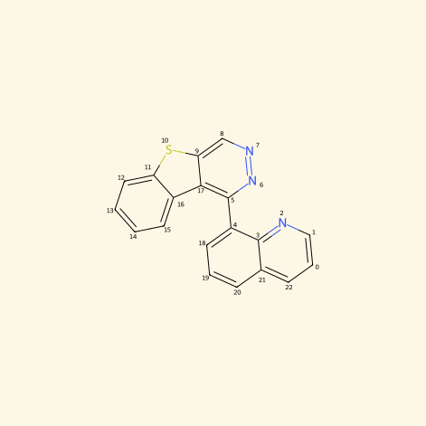 c1cnc2c(-c3nncc4sc5ccccc5c34)cccc2c1